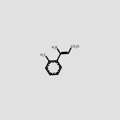 CCOC(=O)C=C(N)c1ccccc1C